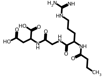 CCCC(=O)NC(CCCNC(=N)N)C(=O)NCC(=O)NC(CC(=O)O)C(=O)O